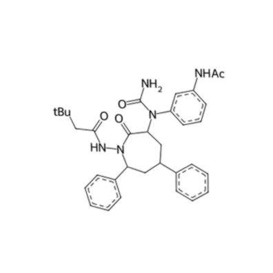 CC(=O)Nc1cccc(N(C(N)=O)C2CC(c3ccccc3)CC(c3ccccc3)N(NC(=O)CC(C)(C)C)C2=O)c1